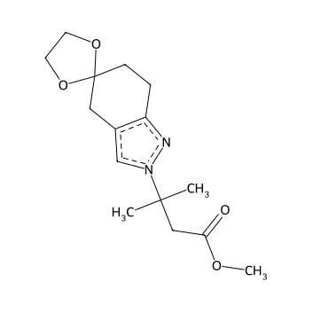 COC(=O)CC(C)(C)n1cc2c(n1)CCC1(C2)OCCO1